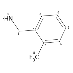 [NH]Cc1ccccc1C(F)(F)F